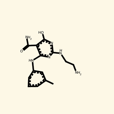 Cc1cccc(Nc2nc(NCCN)nc(O)c2C(N)=O)c1